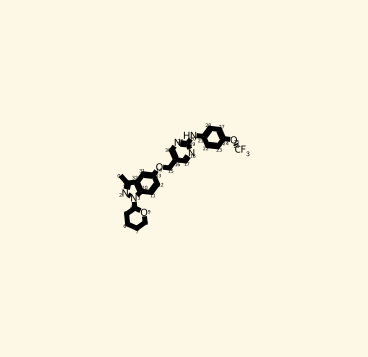 Cc1nn(C2CCCCO2)c2ccc(OCc3cnc(Nc4ccc(OC(F)(F)F)cc4)nc3)cc12